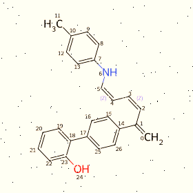 C=C(/C=C\C=C/Nc1ccc(C)cc1)c1ccc(-c2ccccc2O)cc1